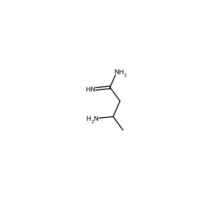 CC(N)CC(=N)N